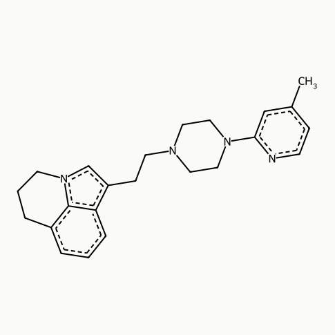 Cc1ccnc(N2CCN(CCc3cn4c5c(cccc35)CCC4)CC2)c1